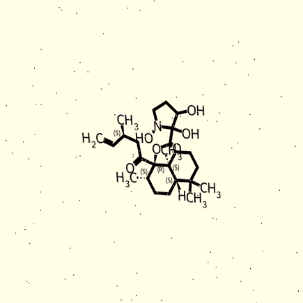 C=C[C@@H](C)CC(=O)[C@@]1(OC(=O)C2(O)C(O)CCN2O)[C@@H](C)CC[C@H]2C(C)(C)CCC[C@@]21C